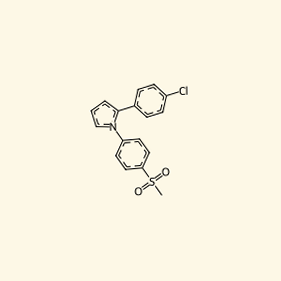 CS(=O)(=O)c1ccc(-n2cccc2-c2ccc(Cl)cc2)cc1